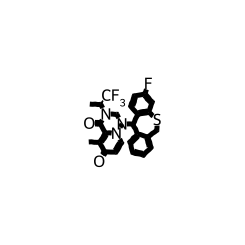 Cc1c2n(ccc1=O)N(C1c3ccccc3CSc3cc(F)ccc31)CN([C@H](C)C(F)(F)F)C2=O